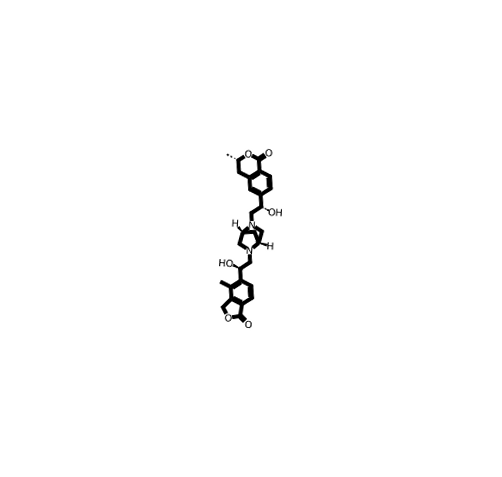 Cc1c([C@@H](O)CN2C[C@H]3C[C@@H]2CN3C[C@@H](O)c2ccc3c(c2)C[C@H](C)OC3=O)ccc2c1COC2=O